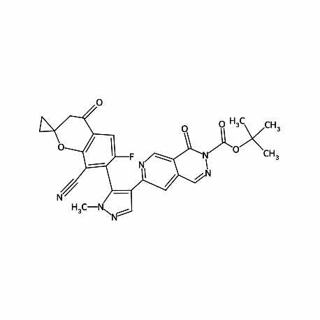 Cn1ncc(-c2cc3cnn(C(=O)OC(C)(C)C)c(=O)c3cn2)c1-c1c(F)cc2c(c1C#N)OC1(CC1)CC2=O